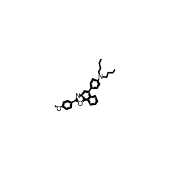 CCCCN(CCCC)c1ccc(-c2cc3nc(-c4ccc(OC)cc4)oc3c3ccccc23)cc1